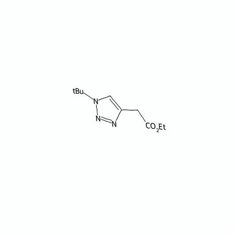 CCOC(=O)Cc1cn(C(C)(C)C)nn1